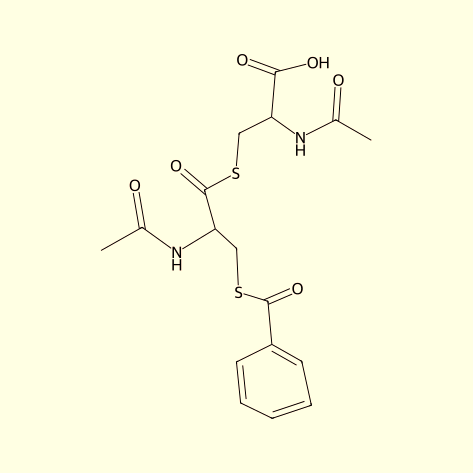 CC(=O)NC(CSC(=O)C(CSC(=O)c1ccccc1)NC(C)=O)C(=O)O